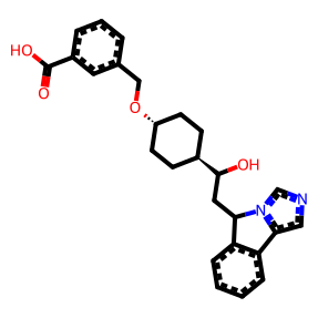 O=C(O)c1cccc(CO[C@H]2CC[C@H](C(O)CC3c4ccccc4-c4cncn43)CC2)c1